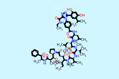 CCNC(=O)c1nnc(-c2cc(C(C)C)c(O)cc2O)n1-c1ccc(C(=O)N[C@@H](CC(C)C)C(=O)N[C@@H](CC(C)C)C(=O)N(C)[C@@H](C(=O)N[C@H](C(=O)N(C)C([C@@H](C)CC)[C@@H](CC(=O)N2CCC[C@@H]2[C@@H](OC)[C@@H](C)C(=O)N[C@@H](C)[C@H](O)c2ccccc2)OC)C(C)C)C(C)C)cc1